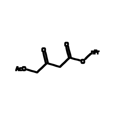 CCCOC(=O)CC(=O)COC(C)=O